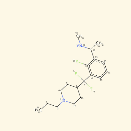 CCCN1CCC(C(F)(F)c2cccc([C@@H](C)NC)c2F)CC1